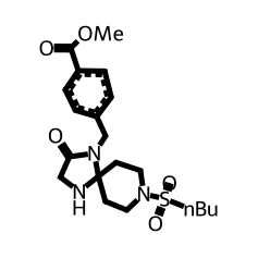 CCCCS(=O)(=O)N1CCC2(CC1)NCC(=O)N2Cc1ccc(C(=O)OC)cc1